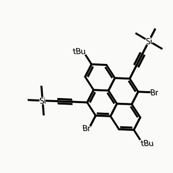 CC(C)(C)c1cc2c(Br)c(C#C[Si](C)(C)C)c3cc(C(C)(C)C)cc4c(C#C[Si](C)(C)C)c(Br)c(c1)c2c34